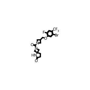 O=C1CCC2(CN(C(=O)N3CC(COc4cc(Br)c(C(F)(F)F)cc4F)C3)C2)N1